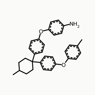 Cc1ccc(Oc2ccc(C3(c4ccc(Oc5ccc(N)cc5)cc4)CCC(C)CC3)cc2)cc1